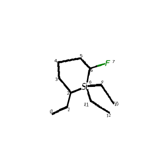 CCC1CCCC(F)[Si]1(CC)CC